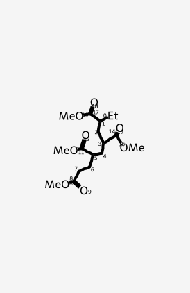 CCC(CC(CC(CCC(=O)OC)C(=O)OC)C(=O)OC)C(=O)OC